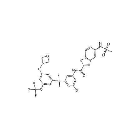 CC(C)(c1cc(Cl)cc(NC(=O)c2cc3cc(NS(C)(=O)=O)ccc3s2)c1)c1cc(OC2COC2)cc(OC(F)(F)F)c1